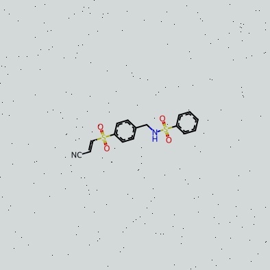 N#CC=CS(=O)(=O)c1ccc(CNS(=O)(=O)c2ccccc2)cc1